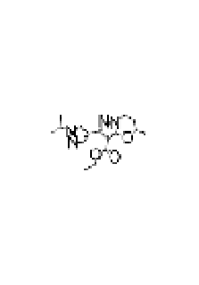 CCOC(=O)c1c(-c2cnn(C(C)C)c2)nn2c1O[C@H](C)CC2